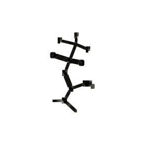 CN(C)S(N)=NS(=O)(=O)C(F)(F)F